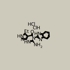 CCc1[nH]ncc1C(=O)N(C(=N)N)c1nc2ccccc2[nH]1.Cl.Cl